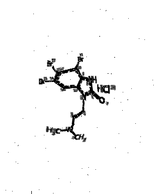 CN(C)CCn1c(=O)[nH]c2c(Br)c(Br)c(Br)cc21.Cl